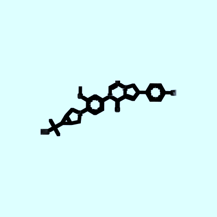 COc1cc(N2C=NN3CC(c4ccc(Cl)cc4)C=C3C2=O)ccc1N1CC2C(C1)C2C(C)(C)O